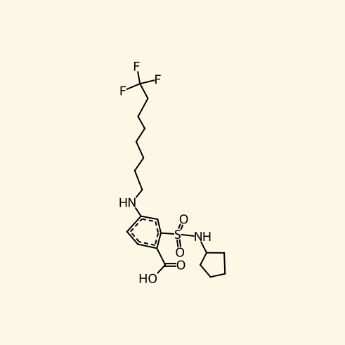 O=C(O)c1ccc(NCCCCCCCC(F)(F)F)cc1S(=O)(=O)NC1CCCC1